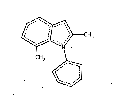 Cc1cccc2[c]c(C)n(-c3ccccc3)c12